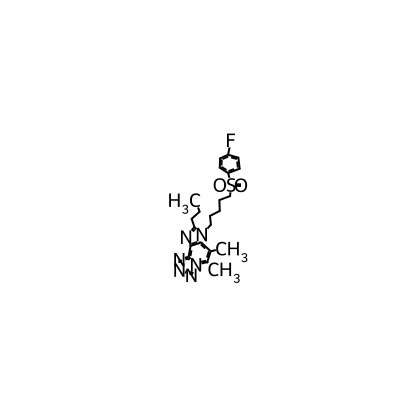 CCCc1nc2c(c(C)c(C)n3nnnc23)n1CCCCCS(=O)(=O)c1ccc(F)cc1